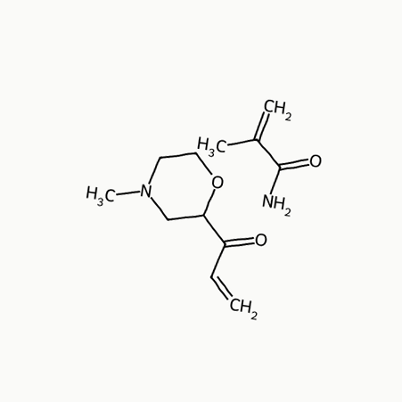 C=C(C)C(N)=O.C=CC(=O)C1CN(C)CCO1